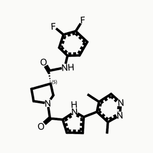 Cc1cnnc(C)c1-c1ccc(C(=O)N2CC[C@H](C(=O)Nc3ccc(F)c(F)c3)C2)[nH]1